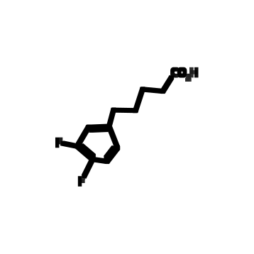 O=C(O)CCCCc1ccc(F)c(F)c1